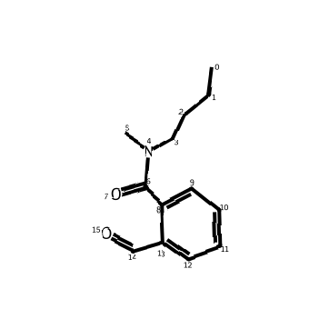 CCCCN(C)C(=O)c1ccccc1C=O